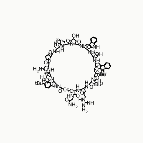 CCCC[C@H]1C(=O)N(C)[C@@H](CCCC)C(=O)N[C@@H](CCCNC(=N)N)C(=O)N[C@H](C(=O)NCC(N)=O)CSCC(=O)N[C@@H](Cc2ccc(C(C)(C)C)cc2)C(=O)N(C)[C@@H](C)C(=O)N[C@@H](CC(N)=O)C(=O)N2CCC[C@H]2C(=O)N[C@@H](CN)C(=O)N[C@@H](CC(C)C)C(=O)N2C[C@H](O)CC2C(=O)N[C@@H](Cc2c[nH]c3ccccc23)C(=O)N[C@@H](CO)C(=O)N[C@@H](Cc2c[nH]c3ccccc23)C(=O)N1C